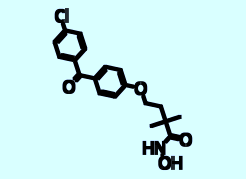 CC(C)(CCOc1ccc(C(=O)c2ccc(Cl)cc2)cc1)C(=O)NO